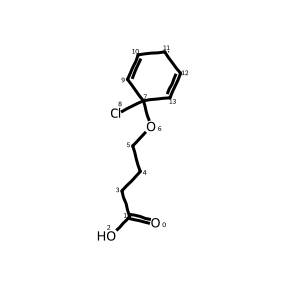 O=C(O)CCCOC1(Cl)C=C[CH]C=C1